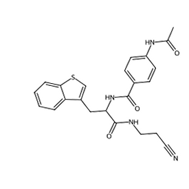 CC(=O)Nc1ccc(C(=O)NC(Cc2csc3ccccc23)C(=O)NCCC#N)cc1